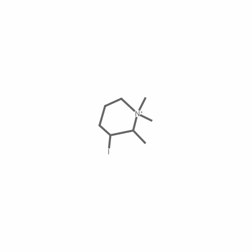 CC1C(I)CCC[N+]1(C)C